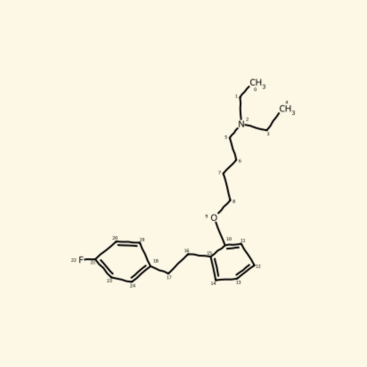 CCN(CC)CCCCOc1ccccc1CCc1ccc(F)cc1